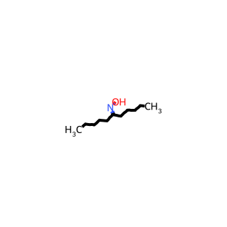 CCCCCC(CCCCC)=NO